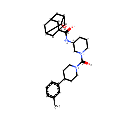 COc1cccc(C2CCN(C(=O)N3CCC[C@H](NC(=O)C45CC6CC(C4)C(O)C(C6)C5)C3)CC2)c1